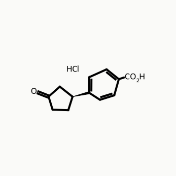 Cl.O=C1CC[C@H](c2ccc(C(=O)O)cc2)C1